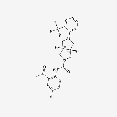 CC(=O)c1cc(F)ccc1NC(=O)N1C[C@@H]2CN(c3ccccc3C(F)(F)F)C[C@@H]2C1